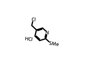 CSc1ccc(CCl)cn1.Cl